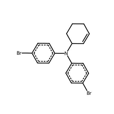 Brc1ccc(N(c2ccc(Br)cc2)C2C=CCCC2)cc1